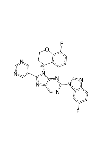 Fc1ccc2ncn(-c3ncc4nc(-c5cncnc5)n([C@@H]5CCOc6c(F)cccc65)c4n3)c2c1